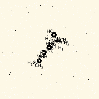 Cc1cc(O)ccc1-n1nc(C(C)(C)C)cc1NC(=O)Nc1ccc(Oc2ccnc(NC(=O)N3CCC(N(C)C)C3)c2)c(Cl)c1Cl